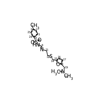 Cc1ccc(S(=O)(=O)NC=NCCSCc2ccc(CN(C)C)o2)cc1